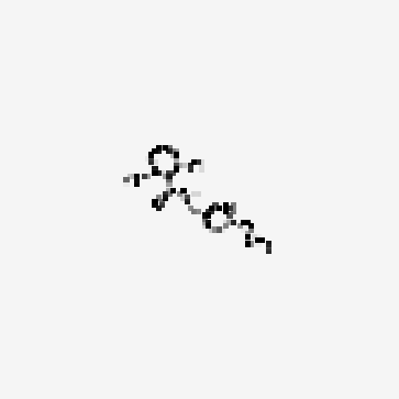 COc1ccc(CNC(=O)c2c(Cl)cccc2Cl)cn1